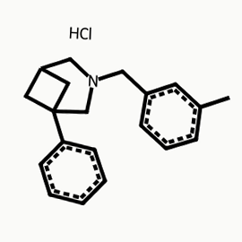 Cc1cccc(CN2CC3CC(c4ccccc4)(C3)C2)c1.Cl